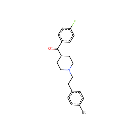 CCc1ccc(CCN2CCC(C(=O)c3ccc(F)cc3)CC2)cc1